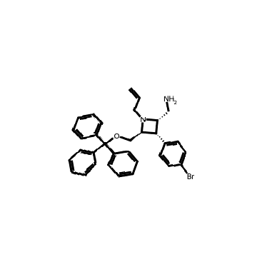 C=CCN1[C@H](CN)[C@H](c2ccc(Br)cc2)[C@H]1COC(c1ccccc1)(c1ccccc1)c1ccccc1